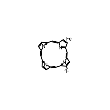 [2H]C1=CC2=CC3=NC(=CC4=NC(=CC5=NC(=CC1=N2)C=C5)C=C4)C=C3.[Fe]